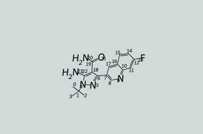 CC(C)(C)n1nc(-c2cnc3cc(F)ccc3c2)c(C(N)=O)c1N